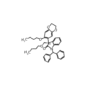 CCCCOC[C@]1(c2cc3c(cc2OCCCC)OCCO3)C(=O)N(C(c2ccccc2)c2ccccc2)c2ccccc21